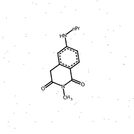 CCCNc1ccc2c(c1)CC(=O)N(C)C2=O